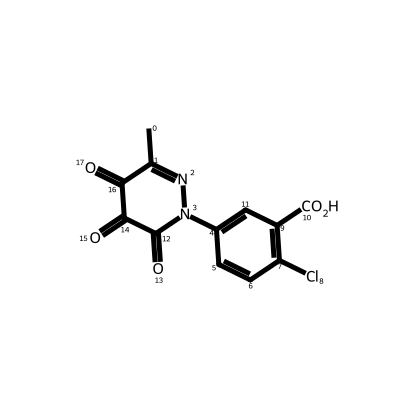 CC1=NN(c2ccc(Cl)c(C(=O)O)c2)C(=O)C(=O)C1=O